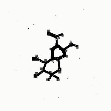 COc1cc2c(cc1C(C)=O)C(O)C(Br)C(C)(C)O2